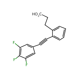 O=C(O)CCc1ccccc1C#Cc1cc(F)c(F)c(F)c1